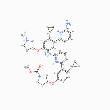 CC(C)(C)OC(=O)N1CCC(Oc2ccc(C3CC3)c(-c3cccc(N)n3)c2)C1.CN1CCC(Oc2ccc(-c3cccc(N)n3)c(C3CC3)c2)C1